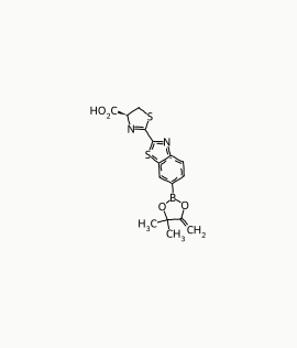 C=C1OB(c2ccc3nc(C4=N[C@@H](C(=O)O)CS4)sc3c2)OC1(C)C